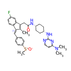 CC1=C(CC(=O)N[C@H]2CC[C@@H](Nc3nccc(N(C)C)n3)CC2)c2cc(F)ccc2/C1=C/c1ccc([S+](C)[O-])cc1